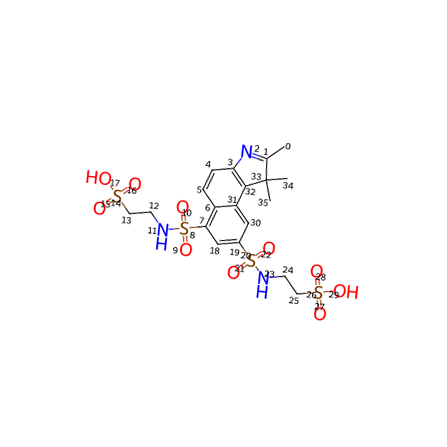 CC1=Nc2ccc3c(S(=O)(=O)NCCS(=O)(=O)O)cc(S(=O)(=O)NCCS(=O)(=O)O)cc3c2C1(C)C